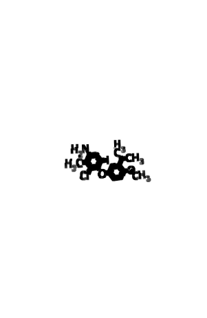 COc1ccc(Oc2c(I)cc(N)c(C)c2Cl)cc1C(C)C